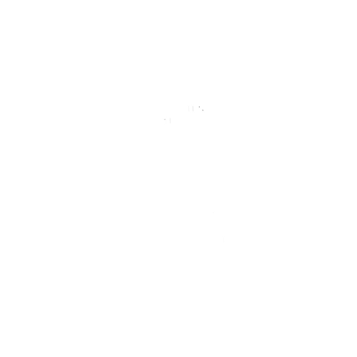 Cc1ccc(C(CN)C[PH](=O)O)cc1